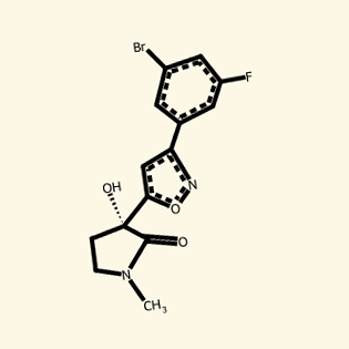 CN1CC[C@@](O)(c2cc(-c3cc(F)cc(Br)c3)no2)C1=O